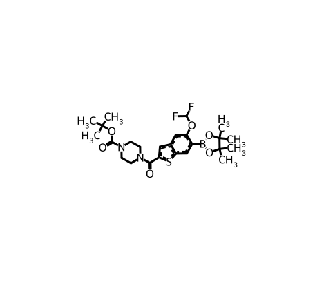 CC(C)(C)OC(=O)N1CCN(C(=O)c2cc3cc(OC(F)F)c(B4OC(C)(C)C(C)(C)O4)cc3s2)CC1